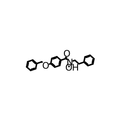 O=C(c1ccc(OCc2ccccc2)cc1)N(O)CCc1ccccc1